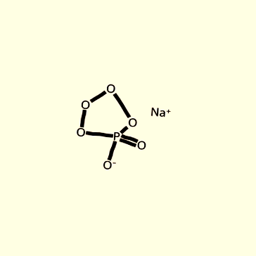 O=P1([O-])OOOO1.[Na+]